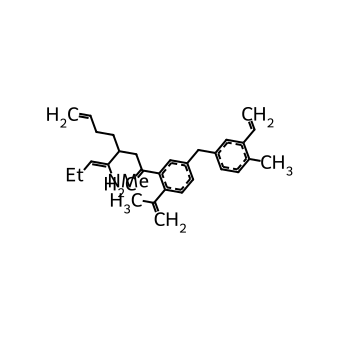 C=CCCC(CC(=C)c1cc(Cc2ccc(C)c(C=C)c2)ccc1C(=C)C)/C(=C/CC)NC